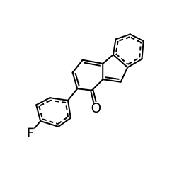 O=C1C2=Cc3ccccc3C2=CC=C1c1ccc(F)cc1